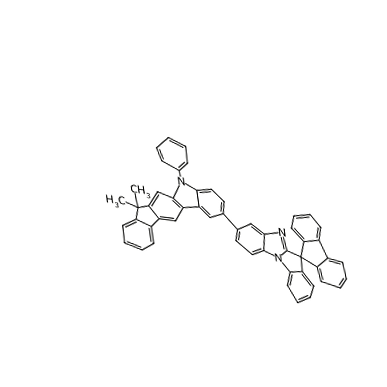 CC1(C)c2ccccc2-c2cc3c4cc(-c5ccc6c(c5)nc5n6-c6ccccc6C56c5ccccc5-c5ccccc56)ccc4n(-c4ccccc4)c3cc21